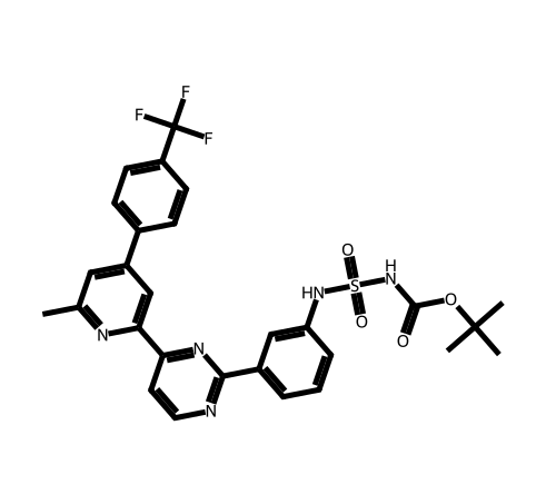 Cc1cc(-c2ccc(C(F)(F)F)cc2)cc(-c2ccnc(-c3cccc(NS(=O)(=O)NC(=O)OC(C)(C)C)c3)n2)n1